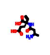 C=C[C@@](CCC(=O)O)(NC(=O)CC(C)N)C(=O)O